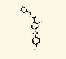 Nc1cc(S(=O)(=O)c2ccc(OC(F)(F)F)cc2)cnc1C(=O)NCC1CCCO1